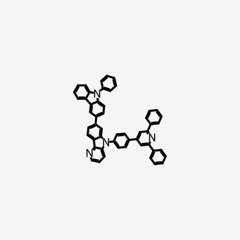 c1ccc(-c2cc(-c3ccc(-n4c5cc(-c6ccc7c(c6)c6ccccc6n7-c6ccccc6)ccc5c5ncccc54)cc3)cc(-c3ccccc3)n2)cc1